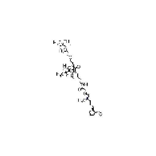 C/C(CCSN1CCC[C@H]1C=O)=N\OCC(=O)NCCCC[C@H](NC(=O)C(C)(C)C)C(=O)NCCOCCOCC(C)(C)C